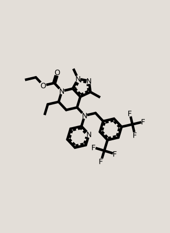 CCOC(=O)N1c2c(c(C)nn2C)C(N(Cc2cc(C(F)(F)F)cc(C(F)(F)F)c2)c2ccccn2)CC1CC